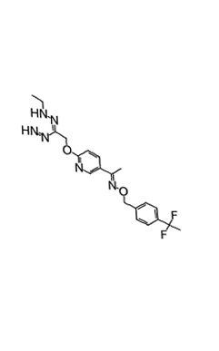 CCN/N=C(/COc1ccc(/C(C)=N/OCc2ccc(C(C)(F)F)cc2)cn1)N=N